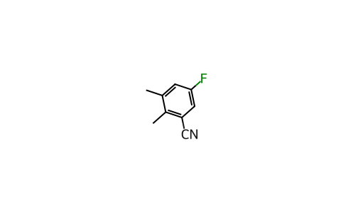 Cc1cc(F)cc(C#N)c1C